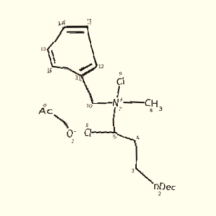 CC(=O)[O-].CCCCCCCCCCCCC(Cl)[N+](C)(Cl)Cc1ccccc1